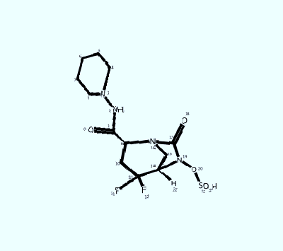 O=C(NN1CCCCC1)[C@@H]1CC(F)(F)[C@@H]2CN1C(=O)N2OS(=O)(=O)O